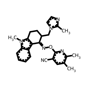 Cc1cc(C#N)c(ON=C2c3c(n(C)c4ccccc34)CCC2Cn2ccnc2C)nc1C